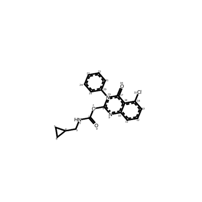 O=C(NCC1CC1)Oc1nc2cccc(Cl)c2c(=O)n1-c1ccccc1